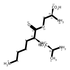 C[C@H](N)C(=O)O.NCCCC[C@H](N)C(=O)OC[C@H](N)C(=O)O